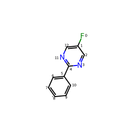 Fc1cnc(-c2cc[c]cc2)nc1